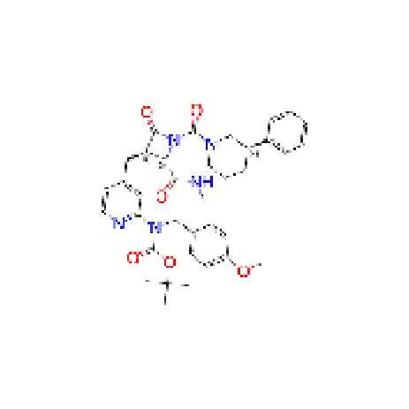 CNC(=O)[C@@H]1[C@@H](Cc2ccnc(N(Cc3ccc(OC)cc3)C(=O)OC(C)(C)C)c2)C(=O)N1C(=O)N1CCC[C@H](c2ccccc2)C1